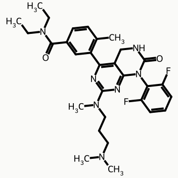 CCN(CC)C(=O)c1ccc(C)c(-c2nc(N(C)CCCN(C)C)nc3c2CNC(=O)N3c2c(F)cccc2F)c1